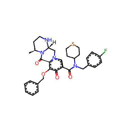 C[C@H]1CCN[C@@H]2Cn3cc(C(=O)N(Cc4ccc(F)cc4)C4CCSCC4)c(=O)c(OCc4ccccc4)c3C(=O)N12